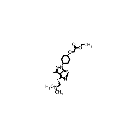 CCOC(=O)CO[C@H]1CC[C@H](n2nc(I)c3c(N=CN(C)C)ncnc32)CC1